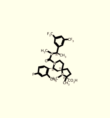 Cc1cc(F)ccc1[C@H]1C[C@@]2(CCN1C(=O)N(C)[C@H](C)c1cc(C(F)(F)F)cc(C(F)(F)F)c1)CC[C@](C)(C(=O)O)N2C